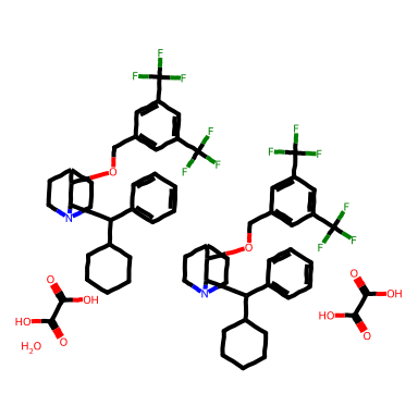 FC(F)(F)c1cc(COC2C3CCN(CC3)C2C(c2ccccc2)C2CCCCC2)cc(C(F)(F)F)c1.FC(F)(F)c1cc(COC2C3CCN(CC3)C2C(c2ccccc2)C2CCCCC2)cc(C(F)(F)F)c1.O.O=C(O)C(=O)O.O=C(O)C(=O)O